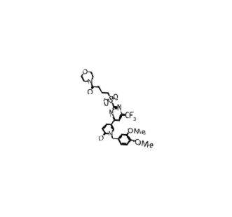 COc1ccc(Cn2cc(-c3cc(C(F)(F)F)nc(S(=O)(=O)CCCC(=O)N4CCOCC4)n3)ccc2=O)cc1OC